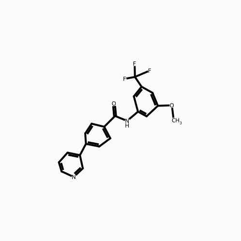 COc1cc(NC(=O)c2ccc(-c3cccnc3)cc2)cc(C(F)(F)F)c1